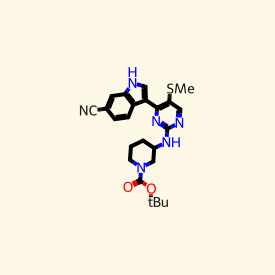 CSc1cnc(NC2CCCN(C(=O)OC(C)(C)C)C2)nc1-c1c[nH]c2cc(C#N)ccc12